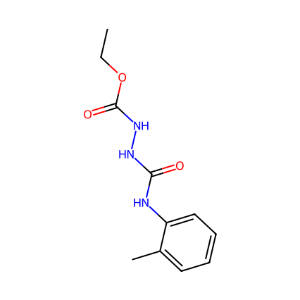 CCOC(=O)NNC(=O)Nc1ccccc1C